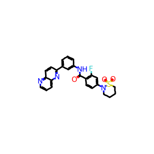 O=C(Nc1cccc(-c2ccc3ncccc3n2)c1)c1ccc(N2CCCCS2(=O)=O)cc1F